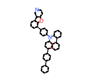 c1ccc(-c2ccc(-c3ccc(N(c4ccc(-c5cccc6c5oc5ccncc56)cc4)c4ccccc4-c4ccccc4)cc3)cc2)cc1